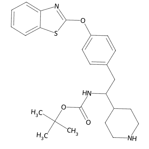 CC(C)(C)OC(=O)NC(Cc1ccc(Oc2nc3ccccc3s2)cc1)C1CCNCC1